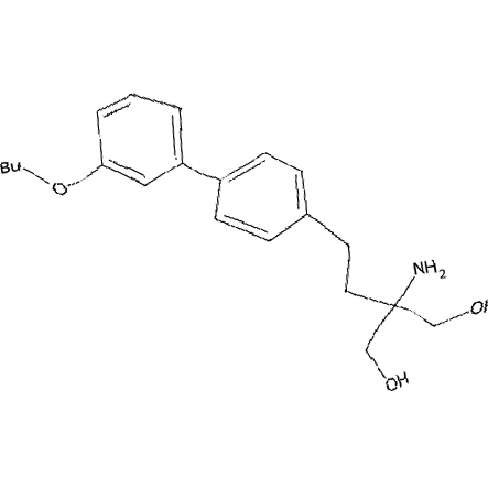 CCCCOc1cccc(-c2ccc(CCC(N)(CO)CO)cc2)c1